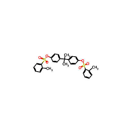 Cc1ccccc1S(=O)(=O)Oc1ccc(C(C)(C)c2ccc(OS(=O)(=O)c3ccccc3C)cc2)cc1